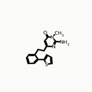 Cn1c(N)nc(CCc2ccccc2-c2cccs2)cc1=O